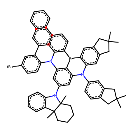 CC1(C)Cc2ccc(N3c4cc5c(cc4B4c6ccc(-c7ccccc7)cc6N(c6ccc(C(C)(C)C)cc6-c6ccccc6)c6cc(N7c8ccccc8C8(C)CCCCC78C)cc3c64)CC(C)(C)C5)cc2C1